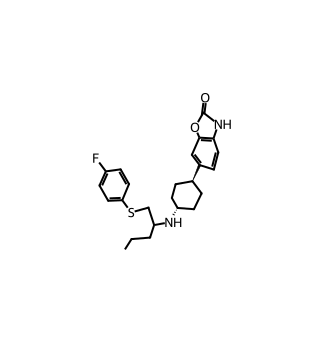 CCCC(CSc1ccc(F)cc1)N[C@H]1CC[C@H](c2ccc3[nH]c(=O)oc3c2)CC1